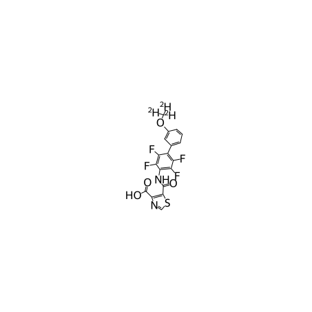 [2H]C([2H])([2H])Oc1cccc(-c2c(F)c(F)c(NC(=O)c3scnc3C(=O)O)c(F)c2F)c1